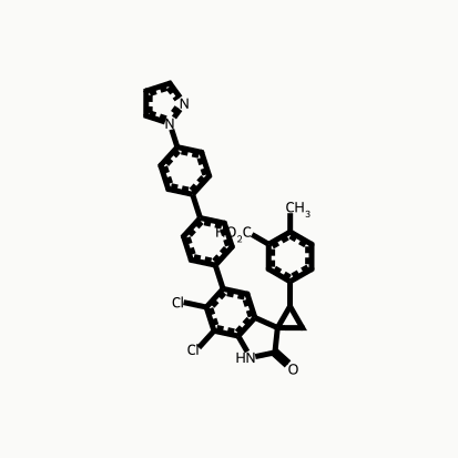 Cc1ccc(C2CC23C(=O)Nc2c3cc(-c3ccc(-c4ccc(-n5cccn5)cc4)cc3)c(Cl)c2Cl)cc1C(=O)O